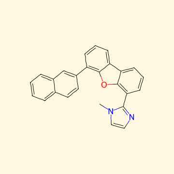 Cn1ccnc1-c1cccc2c1oc1c(-c3ccc4ccccc4c3)cccc12